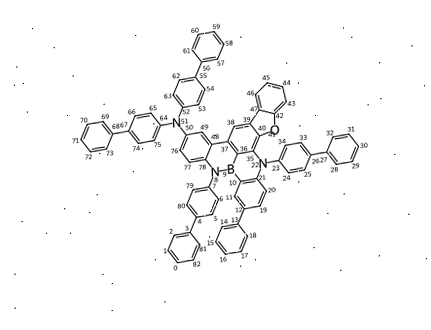 c1ccc(-c2ccc(N3B4c5cc(-c6ccccc6)ccc5N(c5ccc(-c6ccccc6)cc5)c5c4c(cc4c5oc5ccccc54)-c4cc(N(c5ccc(-c6ccccc6)cc5)c5ccc(-c6ccccc6)cc5)ccc43)cc2)cc1